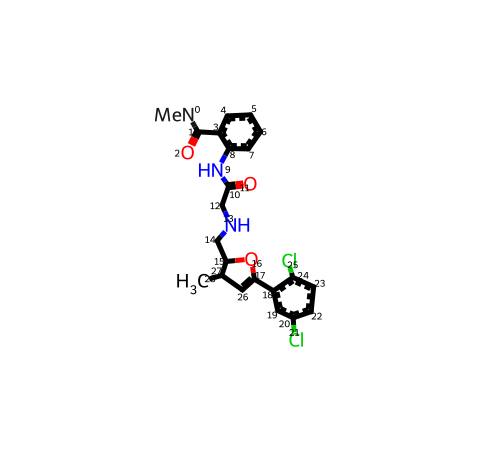 CNC(=O)c1ccccc1NC(=O)CNCC1OC(c2cc(Cl)ccc2Cl)=CC1C